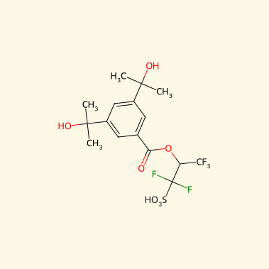 CC(C)(O)c1cc(C(=O)OC(C(F)(F)F)C(F)(F)S(=O)(=O)O)cc(C(C)(C)O)c1